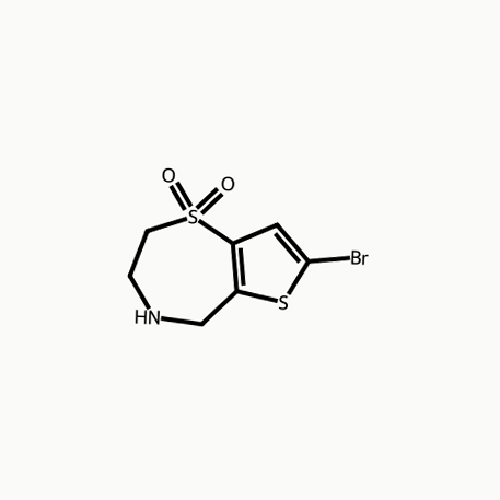 O=S1(=O)CCNCc2sc(Br)cc21